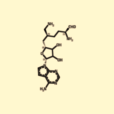 NC[C@@H](CC[C@H](N)C=O)C[C@H]1O[C@@H](n2ccc3c(N)ncnc32)C(O)C1O